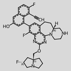 C#Cc1c(F)ccc2cc(O)cc(-c3cc4c5c(nc(OC[C@@]67CCCN6C[C@H](F)C7)nc5c3F)N3CCNC[C@H]3CC4)c12